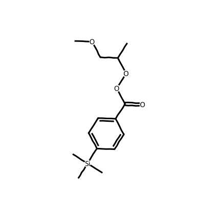 COC[C](C)OOC(=O)c1ccc([Si](C)(C)C)cc1